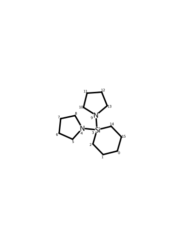 C1CC[Si](N2CCCC2)(N2CCCC2)CC1